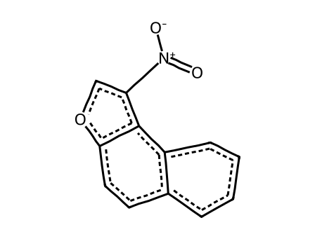 O=[N+]([O-])c1coc2ccc3ccccc3c12